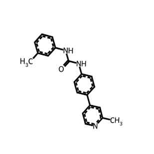 Cc1cccc(NC(=O)Nc2ccc(-c3ccnc(C)c3)cc2)c1